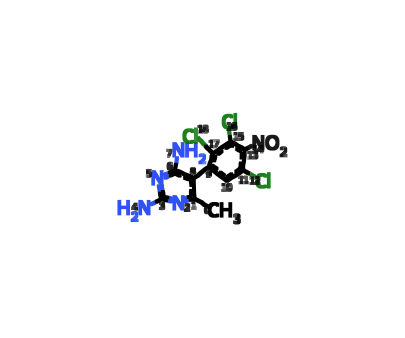 Cc1nc(N)nc(N)c1-c1cc(Cl)c([N+](=O)[O-])c(Cl)c1Cl